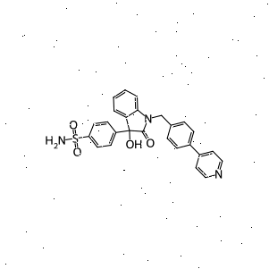 NS(=O)(=O)c1ccc(C2(O)C(=O)N(Cc3ccc(-c4ccncc4)cc3)c3ccccc32)cc1